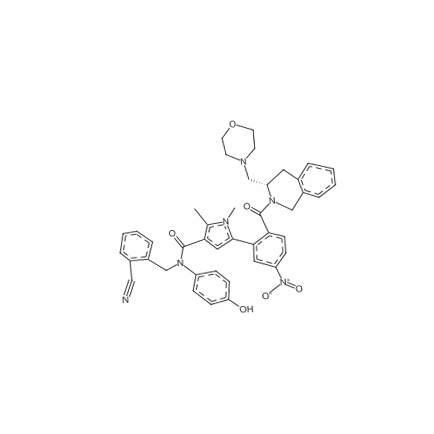 Cc1c(C(=O)N(Cc2ccccc2C#N)c2ccc(O)cc2)cc(-c2cc([N+](=O)[O-])ccc2C(=O)N2Cc3ccccc3C[C@H]2CN2CCOCC2)n1C